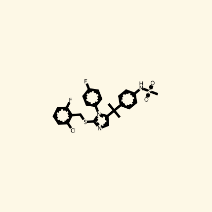 CC(C)(c1ccc(NS(C)(=O)=O)cc1)c1cnc(SCc2c(F)cccc2Cl)n1-c1ccc(F)cc1